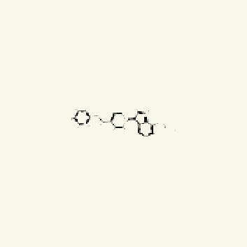 COc1cccc2c(N3CC=C(CCc4ccccc4)CC3)cn(C)c12